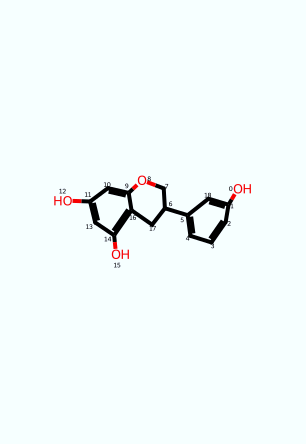 Oc1cccc(C2COc3cc(O)cc(O)c3C2)c1